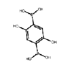 OB(O)c1cc(O)c(B(O)O)cc1O